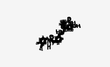 Cc1ccc(CNC(=O)Cc2cccc(CCNC[C@H](O[Si](C)(C)C(C)(C)C)c3ccc(O)c(NC=O)c3)c2)cc1C